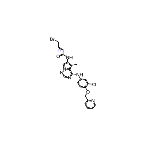 Cc1c(NC(=O)/C=C/CBr)cn2ncnc(Nc3ccc(OCc4ccccn4)c(Cl)c3)c12